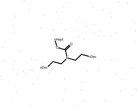 CCCCCCCCCCCCN(CCCCCCCCCCCC)C(=O)OCCCCCCC